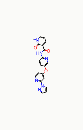 Cn1cccc(C(=O)Nc2ccc(Oc3ccnc(-n4cccn4)c3)cn2)c1=O